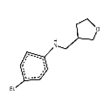 CCc1ccc(NCC2CCOC2)cc1